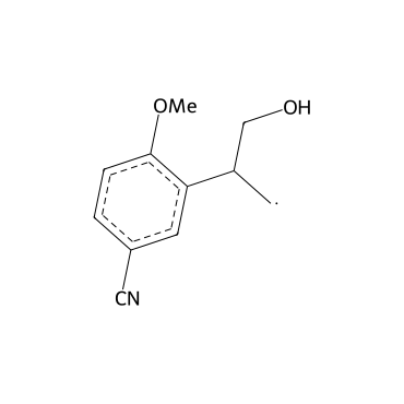 [CH2]C(CO)c1cc(C#N)ccc1OC